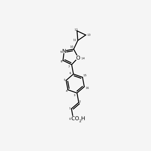 O=C(O)C=Cc1ccc(-c2cnc(C3CC3)o2)cc1